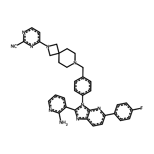 N#Cc1nccc(N2CC3(CCN(Cc4ccc(-n5c(-c6cccnc6N)nc6ccc(-c7ccc(F)cc7)nc65)cc4)CC3)C2)n1